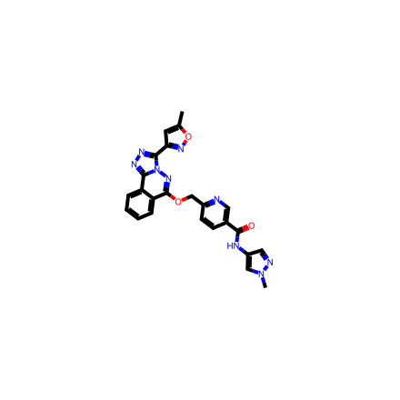 Cc1cc(-c2nnc3c4ccccc4c(OCc4ccc(C(=O)Nc5cnn(C)c5)cn4)nn23)no1